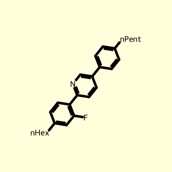 CCCCCCc1ccc(-c2ccc(-c3ccc(CCCCC)cc3)cn2)c(F)c1